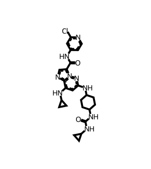 O=C(NC1CC1)NC1CCC(Nc2cc(NC3CC3)c3ncc(C(=O)Nc4ccnc(Cl)c4)n3n2)CC1